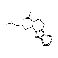 CNCCCC1c2[nH]c3ccccc3c2CCN1C(C)=O